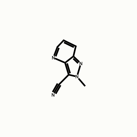 Cn1nc2cccnc2c1C#N